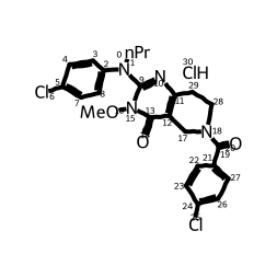 CCCN(c1ccc(Cl)cc1)c1nc2c(c(=O)n1OC)CN(C(=O)c1ccc(Cl)cc1)CC2.Cl